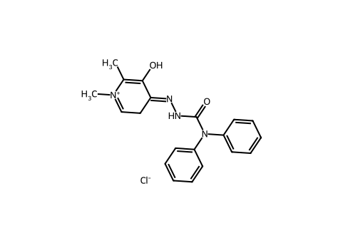 CC1=C(O)C(=NNC(=O)N(c2ccccc2)c2ccccc2)CC=[N+]1C.[Cl-]